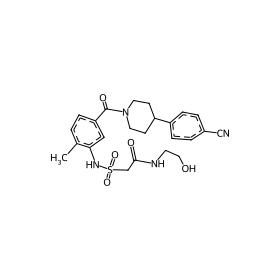 Cc1ccc(C(=O)N2CCC(c3ccc(C#N)cc3)CC2)cc1NS(=O)(=O)CC(=O)NCCO